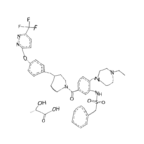 CCN1CCN(c2ccc(C(=O)N3CCC(c4ccc(Oc5ccc(C(F)(F)F)nn5)cc4)CC3)cc2NS(=O)(=O)Cc2ccccc2)CC1.C[C@H](O)C(=O)O